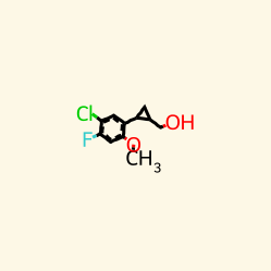 COc1cc(F)c(Cl)cc1C1CC1CO